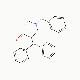 O=C1CCN(Cc2ccccc2)CC1C(c1ccccc1)c1ccccc1